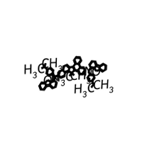 CC(C)c1ccc(N(c2ccc3c4c(ccc3c2)-c2c(c3ccc(N(c5ccc(C(C)C)cc5)c5cccc6c5oc5ccccc56)cc3c3ccccc23)C4(C)C)c2cccc3c2oc2ccccc23)cc1